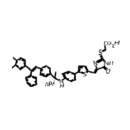 CCC[C@](C)(Nc1ccc(-c2ccc(/C=C3\N=C(SCC(=O)O)NC3=O)s2)cc1)c1ccc(/C=C(\c2ccccc2)c2ccc(C)c(C)c2)cc1